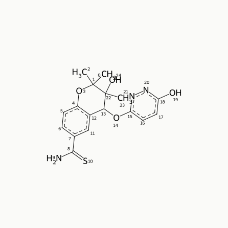 CC1(C)Oc2ccc(C(N)=S)cc2C(Oc2ccc(O)nn2)C1(C)O